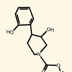 CC(C)(C)OC(=O)N1CCC(c2ccccc2O)C(O)C1